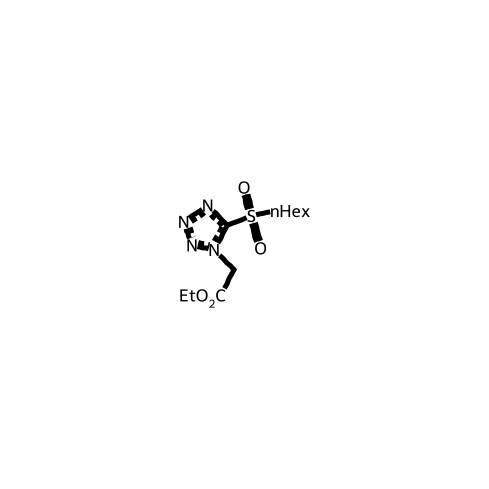 CCCCCCS(=O)(=O)c1nnnn1CC(=O)OCC